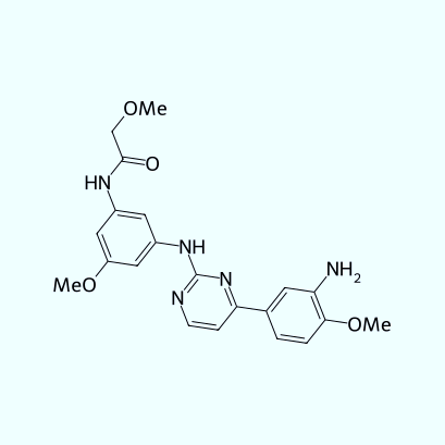 COCC(=O)Nc1cc(Nc2nccc(-c3ccc(OC)c(N)c3)n2)cc(OC)c1